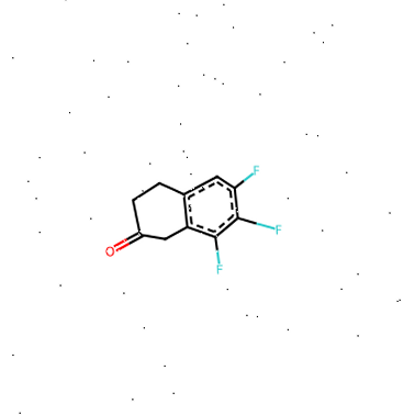 O=C1CCc2cc(F)c(F)c(F)c2C1